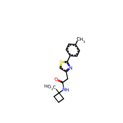 Cc1ccc(-c2nc(CC(=O)NC3(C(=O)O)CCC3)cs2)cc1